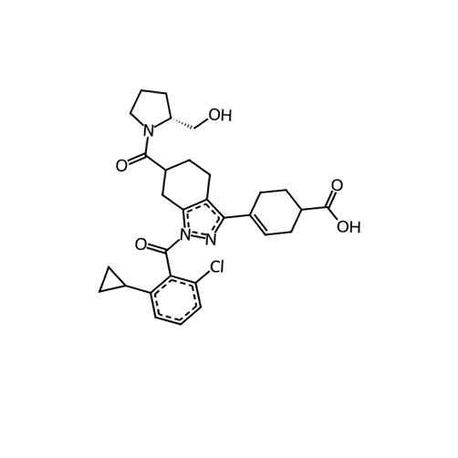 O=C(O)C1CC=C(c2nn(C(=O)c3c(Cl)cccc3C3CC3)c3c2CCC(C(=O)N2CCC[C@@H]2CO)C3)CC1